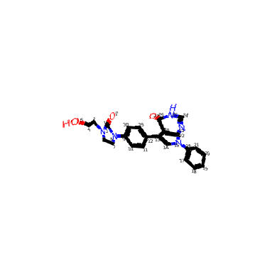 O=C1N(CCO)CCN1c1ccc(-c2cn(-c3ccccc3)c3nc[nH]c(=O)c23)cc1